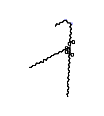 CCCCC/C=C\C/C=C\CCCCCCCC(=O)OC[C@H](COC(=O)CCCCCCCCCCCCCCCCCCCC)OC(=O)CCCCCCCCCCCCCCCCCCC